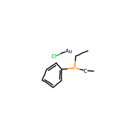 CCP(CC)c1ccccc1.[Cl][Au]